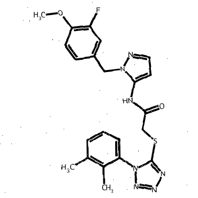 COc1ccc(Cn2nccc2NC(=O)CSc2nnnn2-c2cccc(C)c2C)cc1F